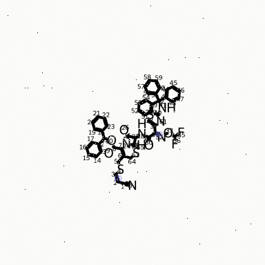 N#C/C=C\SCC1=C(C(=O)OC(c2ccccc2)c2ccccc2)N2C(=O)C(NC(=O)/C(=N/OC(F)F)c3csc(NC(c4ccccc4)(c4ccccc4)c4ccccc4)n3)[C@H]2SC1